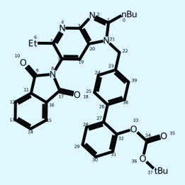 CCCCc1nc2nc(CC)c(N3C(=O)c4ccccc4C3=O)cc2n1Cc1ccc(-c2ccccc2OC(=O)OC(C)(C)C)cc1